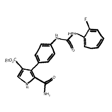 CCOC(=O)c1c[nH]c(C(N)=O)c1-c1ccc(NC(=O)Nc2ccccc2F)cc1